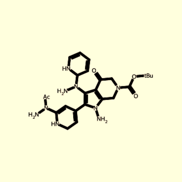 CC(=O)N(N)C1=CC(c2c(N(N)C3C=CC=CN3)c3c(n2N)CN(C(=O)OC(C)(C)C)CC3=O)=CCN1